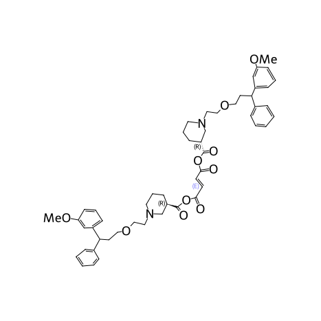 COc1cccc(C(CCOCCN2CCC[C@@H](C(=O)OC(=O)/C=C/C(=O)OC(=O)[C@@H]3CCCN(CCOCCC(c4ccccc4)c4cccc(OC)c4)C3)C2)c2ccccc2)c1